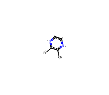 CC(C)c1nccnc1C#N